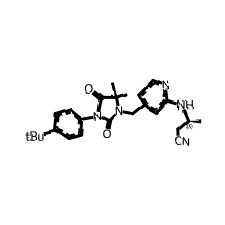 C[C@@H](CC#N)Nc1cc(CN2C(=O)N(c3ccc(C(C)(C)C)cc3)C(=O)C2(C)C)ccn1